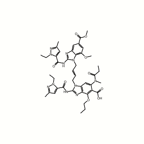 CCCOc1c(C(=O)O)c(N(C)C(=O)CC)cc2c1nc(NC(=O)c1cc(C)nn1CC)n2CC=CCn1c(NC(=O)c2cc(C)nn2CC)nc2cc(C(=O)OC)cc(OC)c21